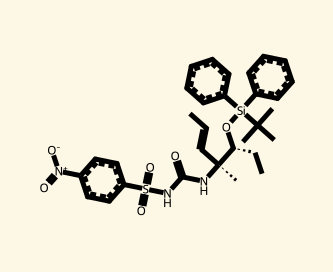 C/C=C/[C@](C)(NC(=O)NS(=O)(=O)c1ccc([N+](=O)[O-])cc1)[C@@H](CC)O[Si](c1ccccc1)(c1ccccc1)C(C)(C)C